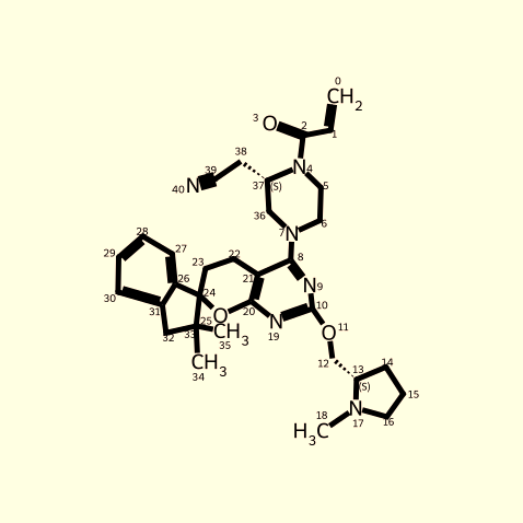 C=CC(=O)N1CCN(c2nc(OC[C@@H]3CCCN3C)nc3c2CCC2(O3)c3ccccc3CC2(C)C)C[C@@H]1CC#N